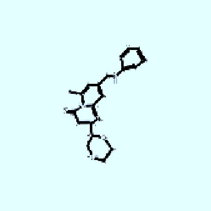 Cc1cc(CNc2ccccc2)cc2nc(C3CNCCO3)cc(=O)n12